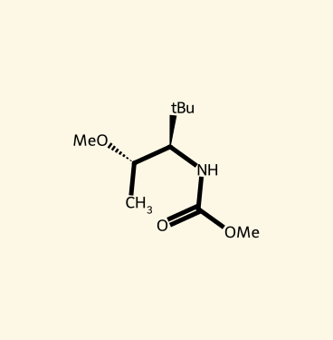 COC(=O)N[C@@H]([C@H](C)OC)C(C)(C)C